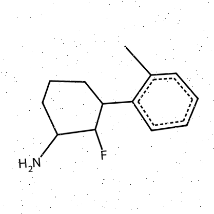 Cc1ccccc1C1CCCC(N)C1F